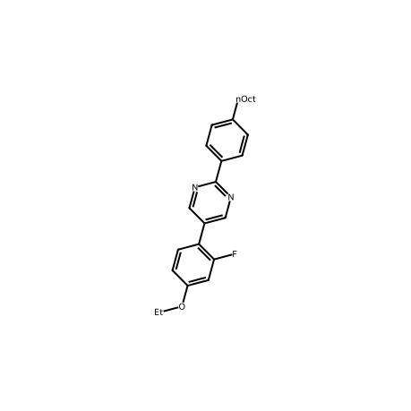 CCCCCCCCc1ccc(-c2ncc(-c3ccc(OCC)cc3F)cn2)cc1